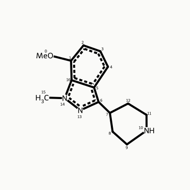 COc1cccc2c(C3CCNCC3)nn(C)c12